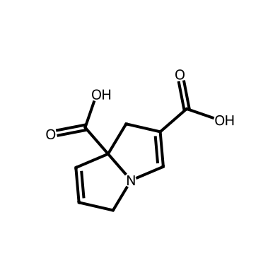 O=C(O)C1=CN2CC=CC2(C(=O)O)C1